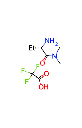 CC[C@H](N)C(=O)N(C)C.O=C(O)C(F)(F)F